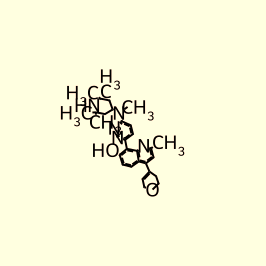 Cc1cc(C2=CCOCC2)c2ccc(O)c(-c3ccc(N(C)C4CC(C)(C)NC(C)(C)C4)nn3)c2n1